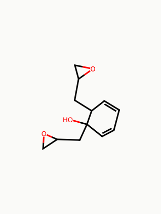 OC1(CC2CO2)C=CC=CC1CC1CO1